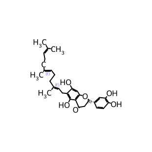 CC(C)=CCC/C(C)=C/CC/C(C)=C/Cc1c(O)cc2c(c1O)C(=O)C[C@@H](c1ccc(O)c(O)c1)O2